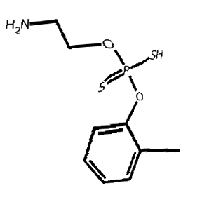 Cc1ccccc1OP(=S)(S)OCCN